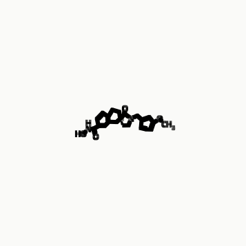 COc1cccc(CN2CC[C@]3(CCc4ccc(C(=O)NO)cc4C3)C2=O)c1